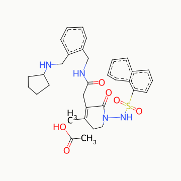 CC(=O)O.CC1=C(CC(=O)NCc2ccccc2CNC2CCCC2)C(=O)N(NS(=O)(=O)c2cccc3ccccc23)CC1